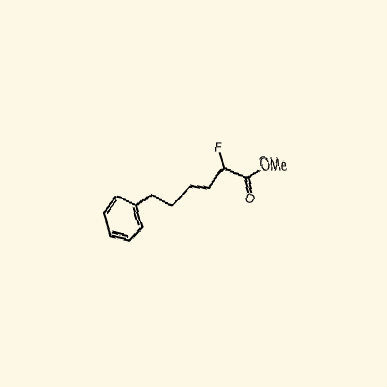 COC(=O)C(F)CCCCc1ccccc1